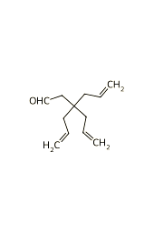 C=CCC(CC=C)(CC=C)CC=O